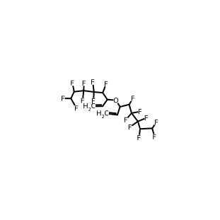 C=CC(OC(C=C)C(F)C(F)(F)C(F)(F)C(F)C(F)F)C(F)C(F)(F)C(F)(F)C(F)C(F)F